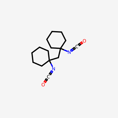 O=C=NC1(CC2(N=C=O)CCCCC2)CCCCC1